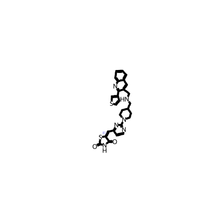 O=C1NC(=O)/C(=C\c2ccnc(N3CCC(CNCc4cc5ccccc5nc4-c4ccsc4)CC3)n2)S1